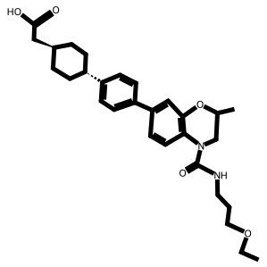 CCOCCCNC(=O)N1CC(C)Oc2cc(-c3ccc([C@H]4CC[C@H](CC(=O)O)CC4)cc3)ccc21